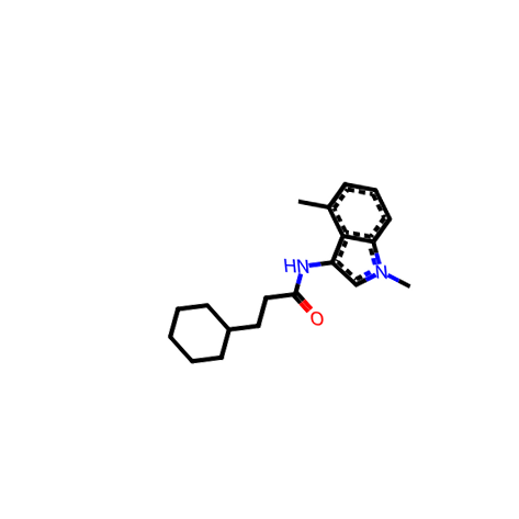 Cc1cccc2c1c(NC(=O)CCC1CCCCC1)cn2C